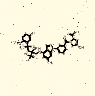 COc1ccc(F)cc1C(C)(C)CC(O)(CNc1cc(C)cc2c1cnn2-c1cccc(C(=O)N2C[C@@H](O)C[C@@H]2C(N)=O)c1)C(F)(F)F